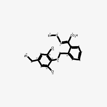 CCON=C(C(=O)O)c1ccccc1COc1c(Cl)cc(CC(C)C)cc1Cl